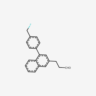 O=CCCc1cc(-c2ccc(CF)cc2)c2ccccc2c1